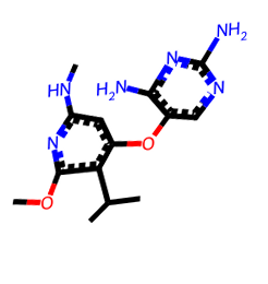 CNc1cc(Oc2cnc(N)nc2N)c(C(C)C)c(OC)n1